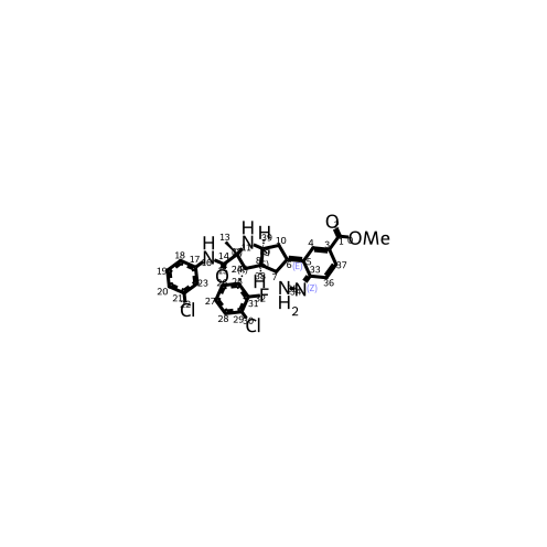 COC(=O)C1=CC(=C2/C[C@@H]3[C@H](C2)N[C@@](C)(C(=O)Nc2cccc(Cl)c2)[C@H]3c2cccc(Cl)c2F)/C(=N\N)C=C1